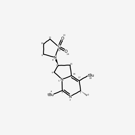 C[C@@H]1N=C(C(C)(C)C)N2C[C@@H](N3CCCS3(=O)=O)CC2=C1C(C)(C)C